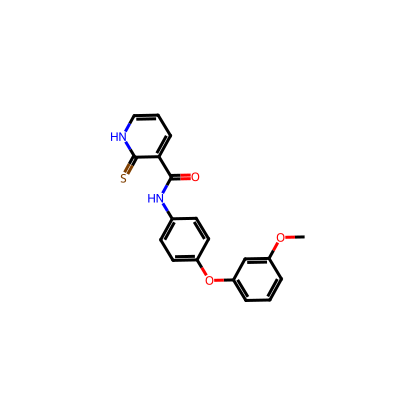 COc1cccc(Oc2ccc(NC(=O)c3ccc[nH]c3=S)cc2)c1